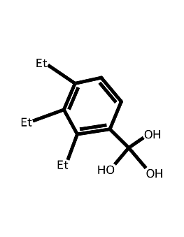 CCc1ccc(C(O)(O)O)c(CC)c1CC